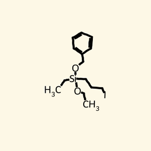 CCO[Si](CC)(CCCI)OCc1ccccc1